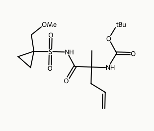 C=CCC(C)(NC(=O)OC(C)(C)C)C(=O)NS(=O)(=O)C1(COC)CC1